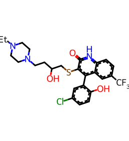 CCN1CCN(CCC(O)CSc2c(-c3cc(Cl)ccc3O)c3cc(C(F)(F)F)ccc3[nH]c2=O)CC1